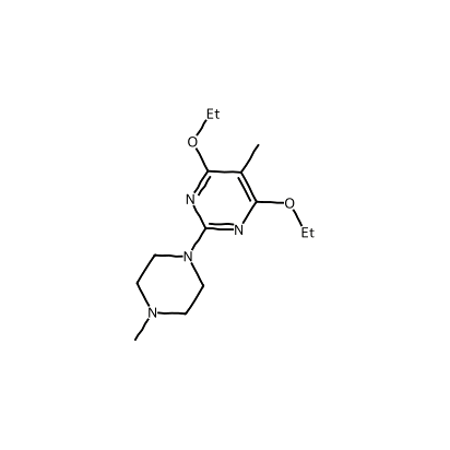 CCOc1nc(N2CCN(C)CC2)nc(OCC)c1C